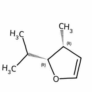 CC(C)[C@H]1OC=C[C@H]1C